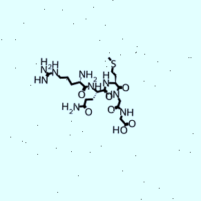 CSCC[C@H](NC(=O)[C@H](CCC(N)=O)NC(=O)[C@@H](N)CCCNC(=N)N)C(=O)NCC(=O)NCC(=O)O